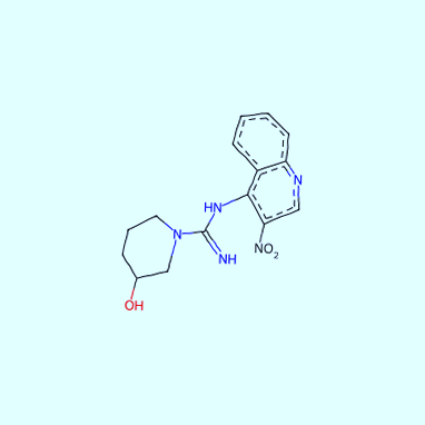 N=C(Nc1c([N+](=O)[O-])cnc2ccccc12)N1CCCC(O)C1